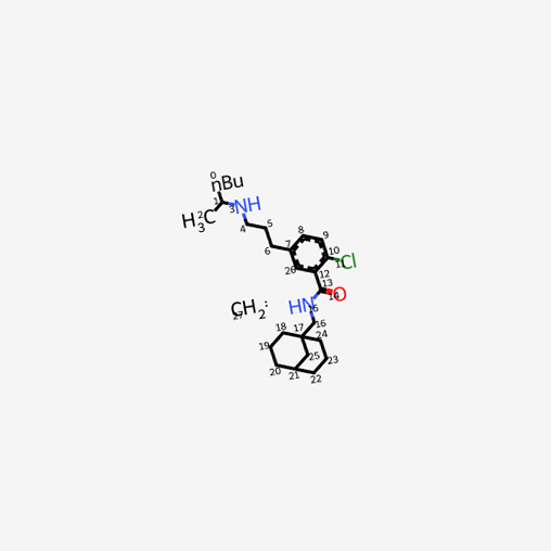 CCCCC(C)NCCCc1ccc(Cl)c(C(=O)NCC23CCCC(CCC2)C3)c1.[CH2]